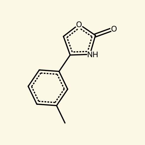 Cc1cccc(-c2coc(=O)[nH]2)c1